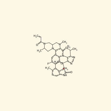 C=CC(=O)N1CC2CN(C)c3c(c4cc(F)c(-c5c(C)ccc6[nH]c(=O)oc56)c(Cl)c4n(-c4c(C(C)C)ncnc4C(C)C)c3=O)N2CC1C